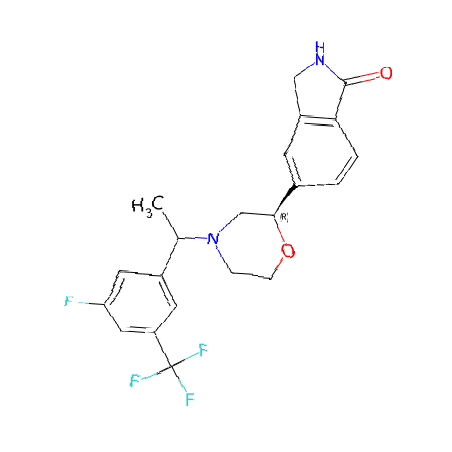 CC(c1cc(F)cc(C(F)(F)F)c1)N1CCO[C@H](c2ccc3c(c2)CNC3=O)C1